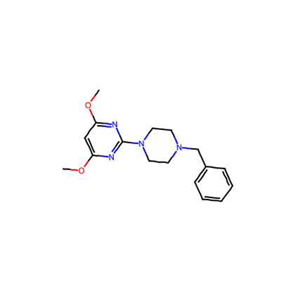 COc1cc(OC)nc(N2CCN(Cc3ccccc3)CC2)n1